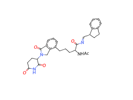 CC(=O)NC(CCCc1cccc2c1CN(C1CCC(=O)NC1=O)C2=O)C(=O)/N=C/C1CCc2ccccc21